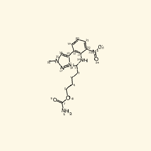 CC(CCCCOC(N)=O)Nc1c(-c2cn(C)nn2)cccc1[N+](=O)[O-]